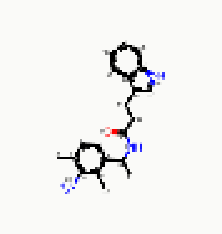 Cc1ccc(C(C)NC(=O)CCc2c[nH]c3ccccc23)c(C)c1N